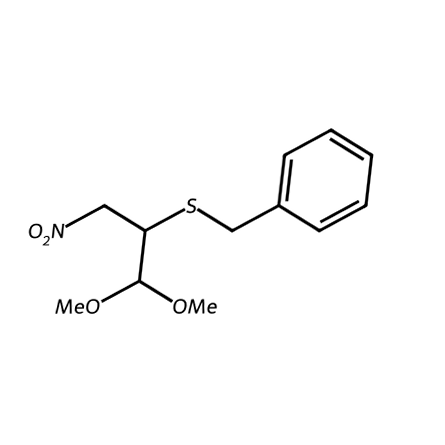 COC(OC)C(C[N+](=O)[O-])SCc1ccccc1